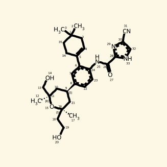 CC1(C)CC=C(c2cc([C@@H]3C[C@](C)(CO)O[C@](C)(CCO)C3)ccc2NC(=O)c2nc(C#N)c[nH]2)CC1